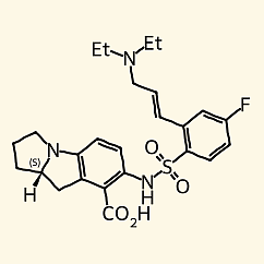 CCN(CC)CC=Cc1cc(F)ccc1S(=O)(=O)Nc1ccc2c(c1C(=O)O)C[C@@H]1CCCN21